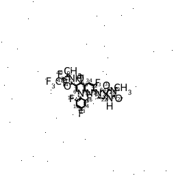 CC(NC(=O)c1cn(-c2c(F)cc(F)cc2F)c2nc(N3CCC4(C3)NC(=O)N(C)C4=O)c(F)cc2c1=O)C(F)(F)C(F)(F)F